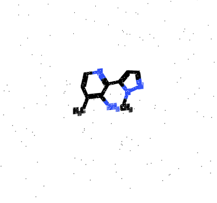 Cc1ccnc(-c2ccnn2C)c1N